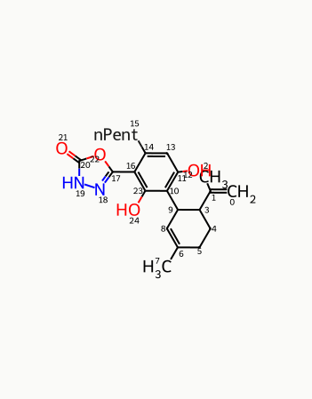 C=C(C)C1CCC(C)=CC1c1c(O)cc(CCCCC)c(-c2n[nH]c(=O)o2)c1O